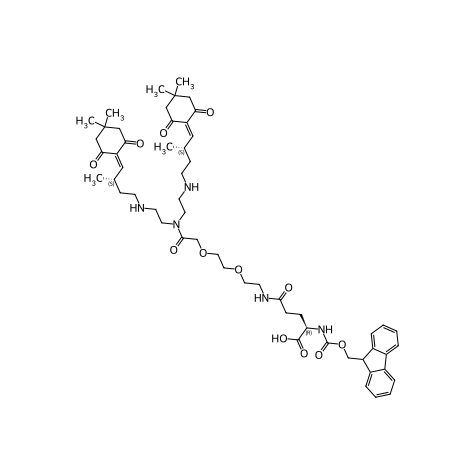 C[C@H](C=C1C(=O)CC(C)(C)CC1=O)CCNCCN(CCNCC[C@H](C)C=C1C(=O)CC(C)(C)CC1=O)C(=O)COCCOCCNC(=O)CC[C@@H](NC(=O)OCC1c2ccccc2-c2ccccc21)C(=O)O